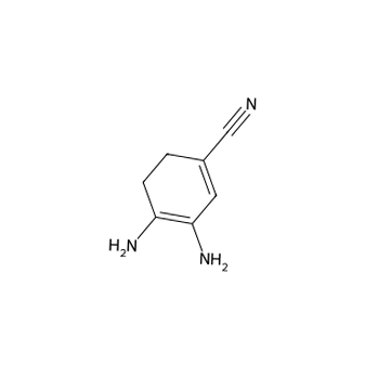 N#CC1=CC(N)=C(N)CC1